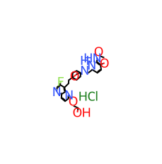 Cl.O=C1COc2ccc(CNC34CCC(CCc5c(F)cnc6ccc(OCCO)nc56)(CC3)OC4)nc2N1